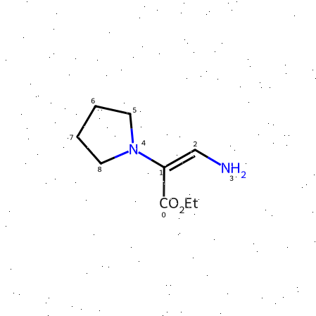 CCOC(=O)C(=CN)N1CCCC1